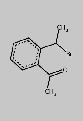 CC(=O)c1ccccc1C(C)Br